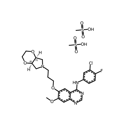 COc1cc2ncnc(Nc3ccc(F)c(Cl)c3)c2cc1OCCCN1C[C@@H]2OCCO[C@@H]2C1.CS(=O)(=O)O.CS(=O)(=O)O